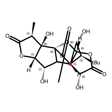 C[C@@H]1C(=O)O[C@H]2[C@@H](O)C34[C@@H]5OC(=O)[C@]3(O[C@@H]3OC(=O)[C@H](O)C34[C@H](C(C)(C)C)[C@H]5O)[C@@]12O